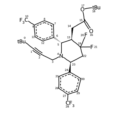 CC(C)(C)C#CCN1[C@H](c2ccc(C(F)(F)F)cc2)[C@@H](CC(=O)OC(C)(C)C)C(F)(F)C[C@H]1c1ccc(C(F)(F)F)cc1